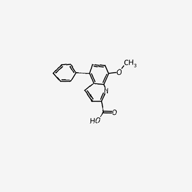 COc1ccc(-c2ccccc2)c2ccc(C(=O)O)nc12